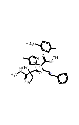 CCCC(CC(C)C)(C(=O)NN)C(=O)[C@]1([C@H](C/C=C/c2ccccc2)C(=O)NO)C=C(C)C=N1.Cc1ccc(S(=O)(=O)O)cc1